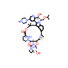 CCO[C@@H]1C2=NC(CS2)c2ccc3c(c2)c(c(-c2cc(N4CCN(C)CC4)cnc2[C@H](C)OC)n3CCOC(C)C)CC(C)(C)COC(=O)[C@@H]2CCCN(N2)C(=O)[C@H]1NC(=O)N1CC[C@H]1COC